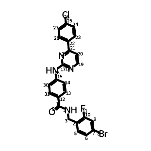 O=C(NCc1ccc(Br)cc1F)c1ccc(Nc2nccc(-c3ccc(Cl)cc3)n2)cc1